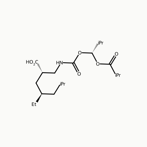 CC[C@H](CC(C)C)C[C@@H](CNC(=O)O[C@@H](OC(=O)C(C)C)C(C)C)C(=O)O